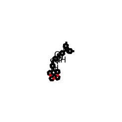 Cc1ccc2c(c1)c1cc(C)ccc1n2-c1ccc(S(=O)(=O)C2=CC=C(Sc3ccc(N4c5ccccc5C(c5ccccc5)(c5ccccc5)c5ccccc54)cc3)NN2)cc1